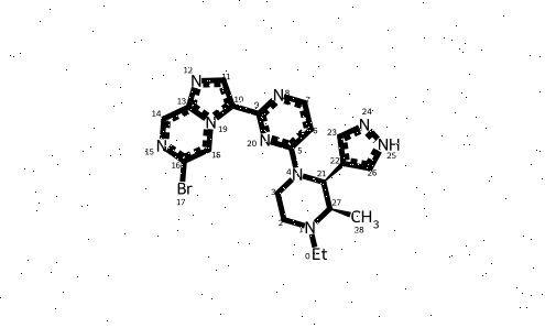 CCN1CCN(c2ccnc(-c3cnc4cnc(Br)cn34)n2)[C@@H](c2cn[nH]c2)[C@H]1C